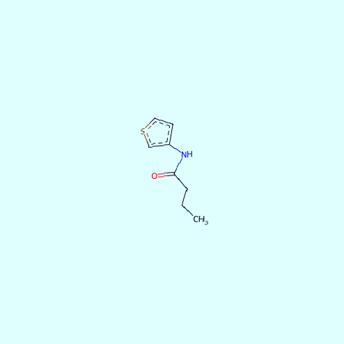 CCCC(=O)Nc1ccsc1